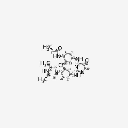 C=CC(=O)Nc1ccc(Nc2nc(Nc3ccc(N4C[C@@H](C)N[C@@H](C)C4)cc3)ncc2Cl)cc1Cl